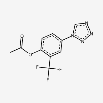 CC(=O)Oc1ccc(-n2cnnn2)cc1C(F)(F)F